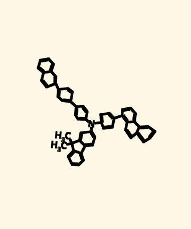 CC1(C)c2ccccc2-c2ccc(N(c3ccc(-c4ccc(-c5ccc6ccccc6c5)cc4)cc3)c3ccc(-c4cccc5c4ccc4ccccc45)cc3)cc21